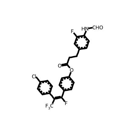 O=CNc1ccc(CCC(=O)Oc2ccc(C(F)=C(c3ccc(Cl)cc3)C(F)(F)F)cc2)cc1F